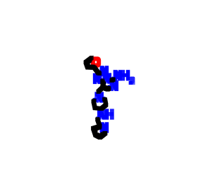 Nc1ncc(CN2CCC(NCc3ccccn3)CC2)c2nc(-c3ccco3)nn12